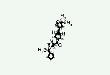 C[C@H](C1CCCC1)n1cnc(C(=O)N2C[C@@H]3C(C4=NOC(C)(C)C4)[C@@H]3C2)c1